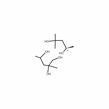 CC(O)CC(C)(O)CO.C[C@@H](O)CC(C)(C)O